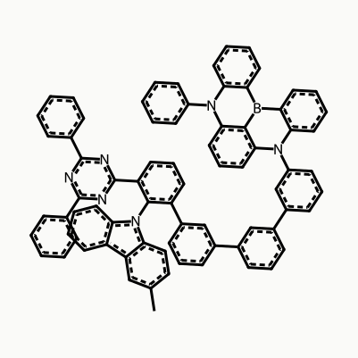 Cc1ccc2c(c1)c1ccccc1n2-c1c(-c2cccc(-c3cccc(-c4cccc(N5c6ccccc6B6c7ccccc7N(c7ccccc7)c7cccc5c76)c4)c3)c2)cccc1-c1nc(-c2ccccc2)nc(-c2ccccc2)n1